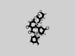 Cc1cccc(NC(=O)c2c(-c3cccc(Cl)c3)n(Cc3ccccc3)c(C)cc2=O)c1C